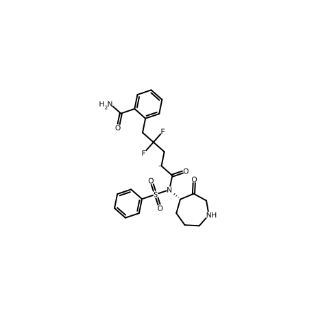 NC(=O)c1ccccc1CC(F)(F)C[CH]C(=O)N([C@H]1CCCNCC1=O)S(=O)(=O)c1ccccc1